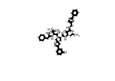 CCC[C@H](NC(=O)[C@@H]1C[C@]2(CC(c3cccc(Cl)c3)=NO2)CN1C(=O)[C@@H](NC(=O)CC1CCCCC1)C(C)(C)C)C(=O)C(=O)NCc1csc(-c2ccccc2)n1